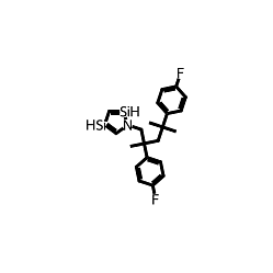 CC(C)(CC(C)(Cn1c[siH]c[siH]1)c1ccc(F)cc1)c1ccc(F)cc1